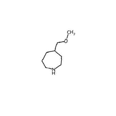 COCC1CCCNCC1